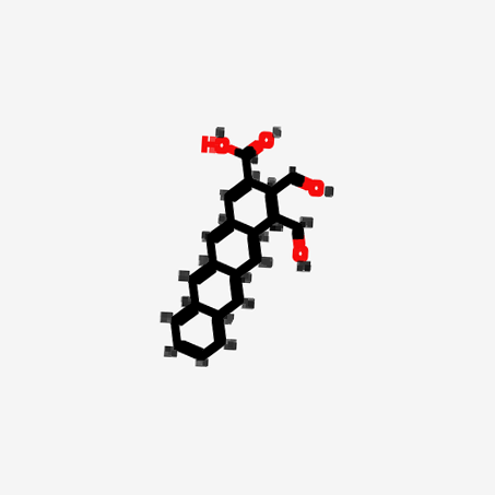 O=Cc1c(C(=O)O)cc2cc3cc4ccccc4cc3cc2c1C=O